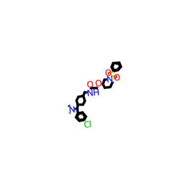 CN(C)C(c1ccc(Cl)cc1)C1CCC(CNC(=O)COC2CCCN(S(=O)(=O)c3ccccc3)C2)CC1